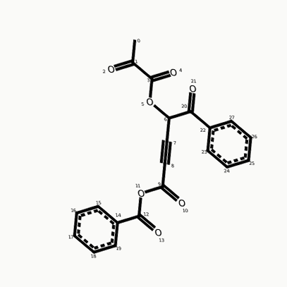 CC(=O)C(=O)OC(C#CC(=O)OC(=O)c1ccccc1)C(=O)c1ccccc1